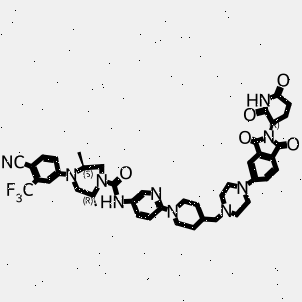 C[C@@H]1CN(c2ccc(C#N)c(C(F)(F)F)c2)[C@@H](C)CN1C(=O)Nc1ccc(N2CCC(CN3CCN(c4ccc5c(c4)C(=O)N([C@@H]4CCC(=O)NC4=O)C5=O)CC3)CC2)nc1